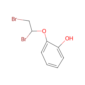 Oc1ccccc1OC(Br)CBr